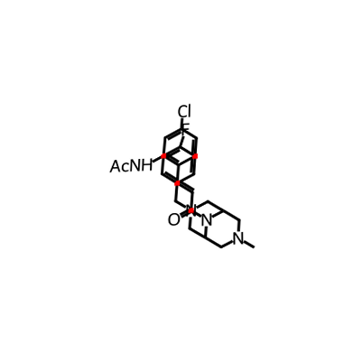 CC(=O)Nc1cc(Cl)ccc1C=CC(=O)N1C2CN(C)CC1CN(Cc1ccc(F)cc1)C2